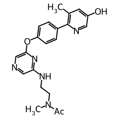 CC(=O)N(C)CCNc1cncc(Oc2ccc(-c3ncc(O)cc3C)cc2)n1